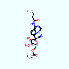 CCCC(=O)Nc1ncnn2c([C@]3(C#N)O[C@H](COC(C)=O)[C@H](O)[C@H]3O)ccc12